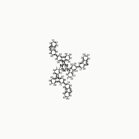 c1cc(-c2nc(-n3c4ccccc4c4cc(-c5ccc6sc7ccccc7c6c5)ccc43)nc(-n3c4ccccc4c4cc(-c5ccc6sc7ccccc7c6c5)ccc43)n2)cc(-n2c3ccccc3c3cc(-c4ccc5sc6ccccc6c5c4)ccc32)c1